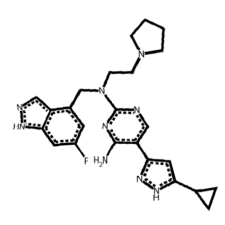 Nc1nc(N(CCN2CCCC2)Cc2cc(F)cc3[nH]ncc23)ncc1-c1cc(C2CC2)[nH]n1